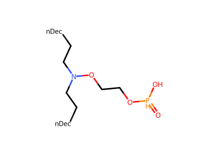 CCCCCCCCCCCCN(CCCCCCCCCCCC)OCCO[PH](=O)O